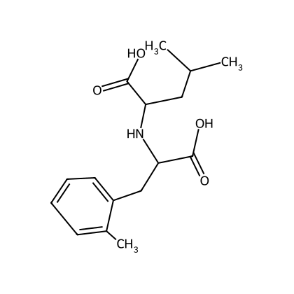 Cc1ccccc1CC(NC(CC(C)C)C(=O)O)C(=O)O